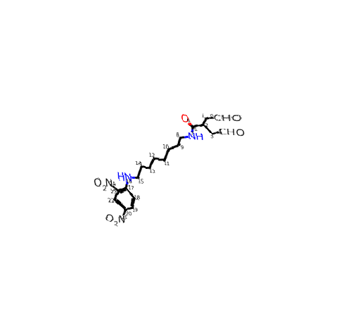 O=CCC(CC=O)C(=O)NCCCCCCCCNc1ccc([N+](=O)[O-])cc1[N+](=O)[O-]